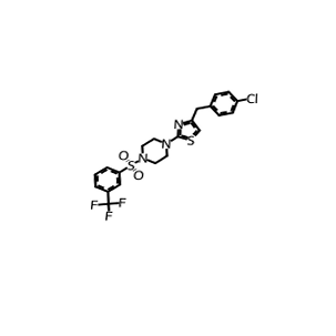 O=S(=O)(c1cccc(C(F)(F)F)c1)N1CCN(c2nc(Cc3ccc(Cl)cc3)cs2)CC1